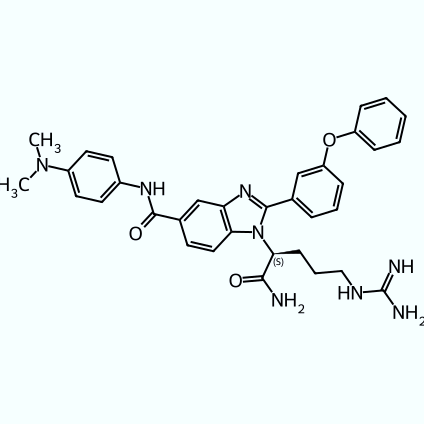 CN(C)c1ccc(NC(=O)c2ccc3c(c2)nc(-c2cccc(Oc4ccccc4)c2)n3[C@@H](CCCNC(=N)N)C(N)=O)cc1